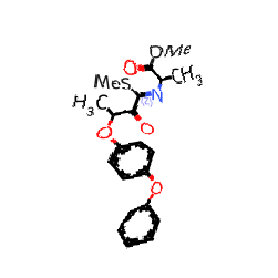 COC(=O)C(C)/N=C(\SC)C(=O)C(C)Oc1ccc(Oc2ccccc2)cc1